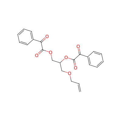 C=CCOCC(COC(=O)C(=O)c1ccccc1)OC(=O)C(=O)c1ccccc1